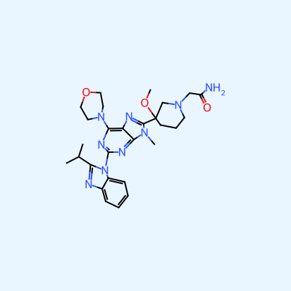 COC1(c2nc3c(N4CCOCC4)nc(-n4c(C(C)C)nc5ccccc54)nc3n2C)CCCN(CC(N)=O)C1